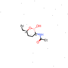 CCC(=O)N[C@H]1CC[C@@H](CC(C)=O)OB1O